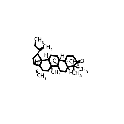 C=C(CC)[C@@H]1CC[C@]2(CC)CC[C@]3(C)[C@H](CC[C@@H]4[C@@]5(C)CCC(=O)C(C)(C)[C@@H]5CC[C@]43C)[C@@H]12